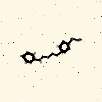 CCCOc1ccc(CCCCOc2cc[c]cc2)cc1